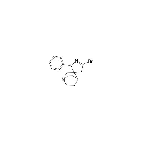 BrC1=NN(c2ccccc2)C2(C1)CN1CCC2CC1